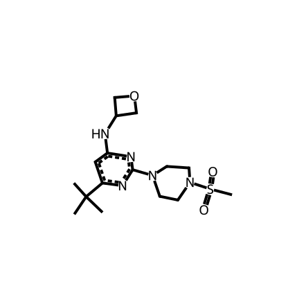 CC(C)(C)c1cc(NC2COC2)nc(N2CCN(S(C)(=O)=O)CC2)n1